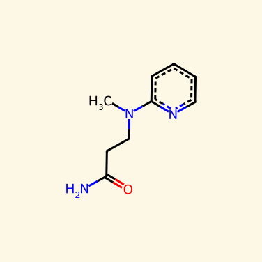 CN(CCC(N)=O)c1ccccn1